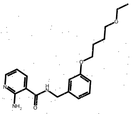 CCOCCCCOc1cccc(CNC(=O)c2cccnc2N)c1